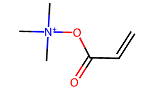 C=CC(=O)O[N+](C)(C)C